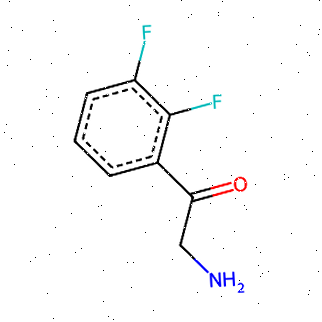 NCC(=O)c1cccc(F)c1F